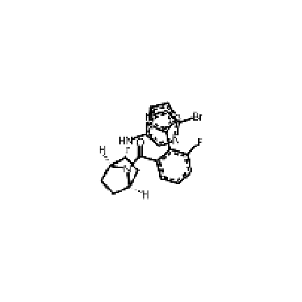 O=C(c1cccc(F)c1-c1ncco1)N1[C@@H]2CC[C@H]1[C@H](Nc1cnc(Br)cn1)C2